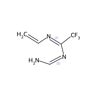 C=C/N=C(\N=C/N)C(F)(F)F